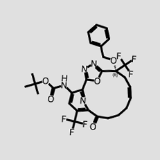 CC(C)(C)OC(=O)Nc1cc(C(F)(F)F)c2nc1-c1nnc(o1)[C@@](OCc1ccccc1)(C(F)(F)F)CC=CCCCC2=O